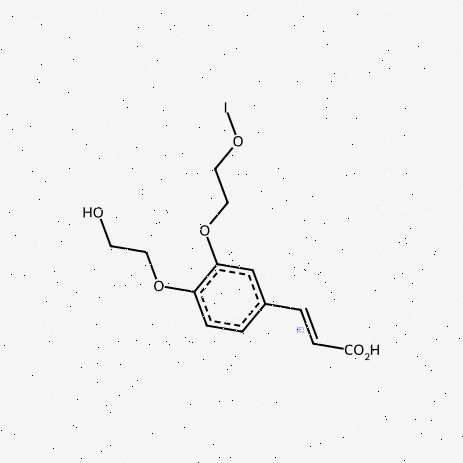 O=C(O)/C=C/c1ccc(OCCO)c(OCCOI)c1